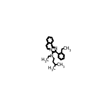 CCc1ccccc1-c1nc2c3ccccc3ccn2c1N(CC)CCC(C)C